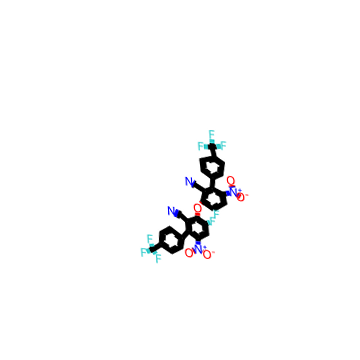 N#Cc1c(Oc2c(F)cc([N+](=O)[O-])c(-c3ccc(C(F)(F)F)cc3)c2C#N)c(F)cc([N+](=O)[O-])c1-c1ccc(C(F)(F)F)cc1